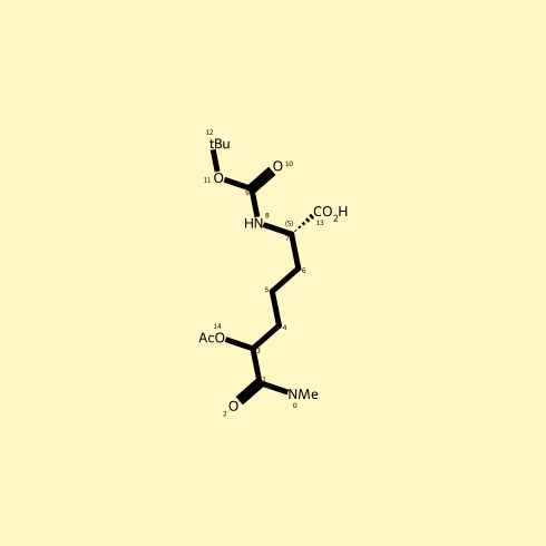 CNC(=O)C(CCC[C@H](NC(=O)OC(C)(C)C)C(=O)O)OC(C)=O